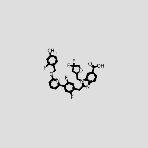 Cc1ccc(COc2cccc(-c3cc(F)c(Cc4nc5ccc(C(=O)O)cc5n4CC4CC(F)(F)CO4)cc3F)n2)c(F)c1